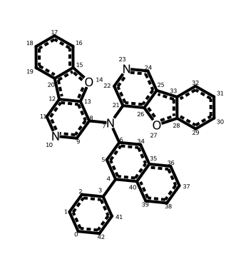 c1ccc(-c2cc(N(c3cncc4c3oc3ccccc34)c3cncc4c3oc3ccccc34)cc3ccccc23)cc1